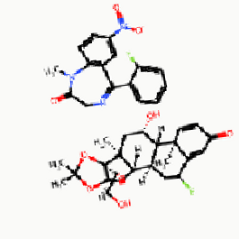 CC1(C)O[C@@H]2C[C@H]3[C@@H]4C[C@H](F)C5=CC(=O)C=C[C@]5(C)[C@H]4[C@@H](O)C[C@]3(C)[C@]2(C(=O)CO)O1.CN1C(=O)CN=C(c2ccccc2F)c2cc([N+](=O)[O-])ccc21